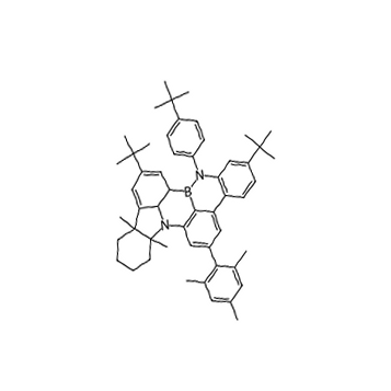 Cc1cc(C)c(-c2cc3c4c(c2)N2C5C(=CC(C(C)(C)C)=CC5B4N(c4ccc(C(C)(C)C)cc4)c4cc(C(C)(C)C)ccc4-3)C3(C)CCCCC23C)c(C)c1